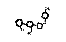 Cc1ccc(O[C@H]2CCN(c3ccc(-c4ccccc4Cl)cc3CO)C2)nc1